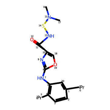 CC(C)c1ccc(C(C)C)c(Nc2nc(C(=O)NSN(C)C)co2)c1